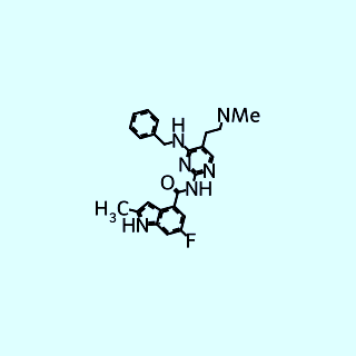 CNCCc1cnc(NC(=O)c2cc(F)cc3[nH]c(C)cc23)nc1NCc1ccccc1